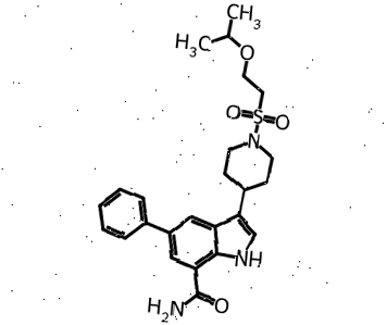 CC(C)OCCS(=O)(=O)N1CCC(c2c[nH]c3c(C(N)=O)cc(-c4ccccc4)cc23)CC1